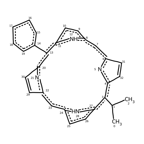 CC(C)c1c2nc(cc3ccc([nH]3)c(-c3ccccc3)c3nc(cc4ccc1[nH]4)C=C3)C=C2